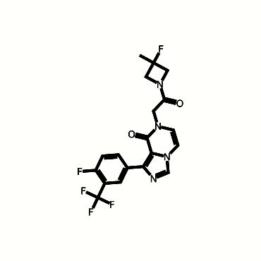 CC1(F)CN(C(=O)Cn2ccn3cnc(-c4ccc(F)c(C(F)(F)F)c4)c3c2=O)C1